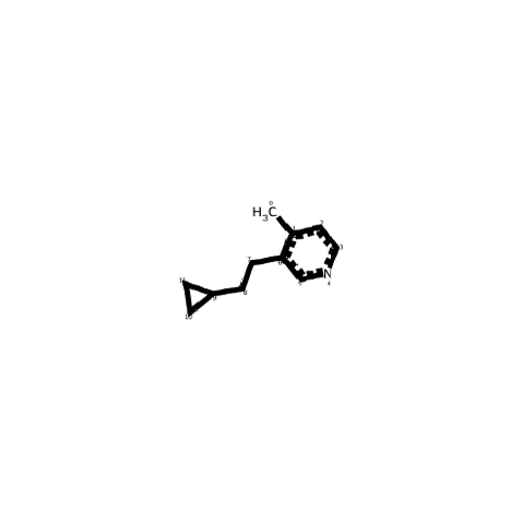 Cc1ccncc1CCC1CC1